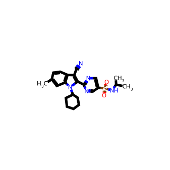 Cc1ccc2c(C#N)c(-c3ncc(S(=O)(=O)NC(C)C)cn3)n(C3CCCCC3)c2c1